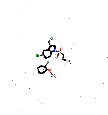 C=CCS(=O)(=O)n1cc(CCl)c2cc(Br)ccc21.COc1ccccc1Br